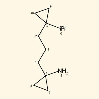 CC(C)C1(CCCC2(N)CC2)CC1